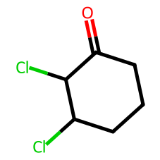 O=C1CCCC(Cl)C1Cl